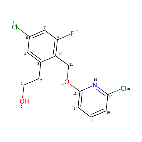 OCCc1cc(Cl)cc(F)c1COc1cccc(Cl)n1